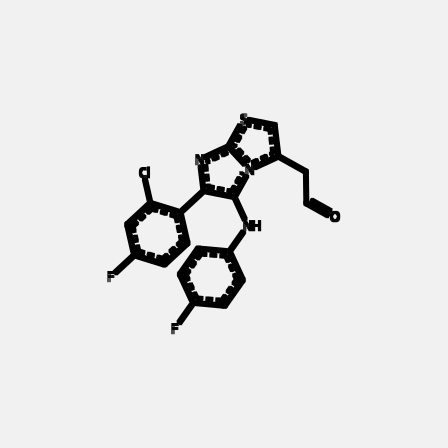 O=CCc1csc2nc(-c3ccc(F)cc3Cl)c(Nc3ccc(F)cc3)n12